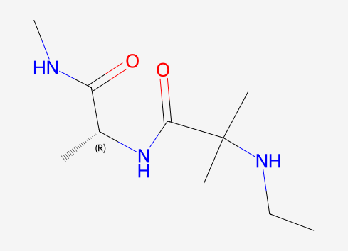 CCNC(C)(C)C(=O)N[C@H](C)C(=O)NC